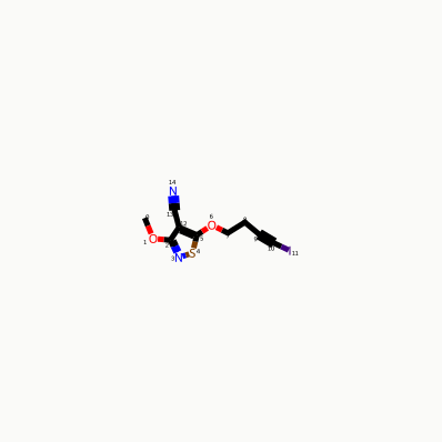 COc1nsc(OCCC#CI)c1C#N